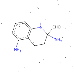 Nc1cccc2c1CCC(N)(C=O)N2